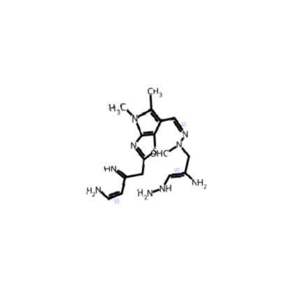 Cc1c(/C=N\N(C=O)C/C(N)=C/NN)c2sc(CC(=N)/C=C\N)nc2n1C